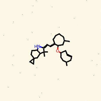 CC1C/C=C/CC(OC2CC(C)CCCC/C2=C\C=C2\NC3CCC4(CC4)CC3C2(C)C)CC1